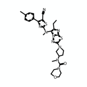 CCc1nc2sc(N3CCC(N(C)C(=O)N4CCOCC4)C3)nn2c1N(C)c1nc(-c2ccc(C)cc2)c(C#N)s1